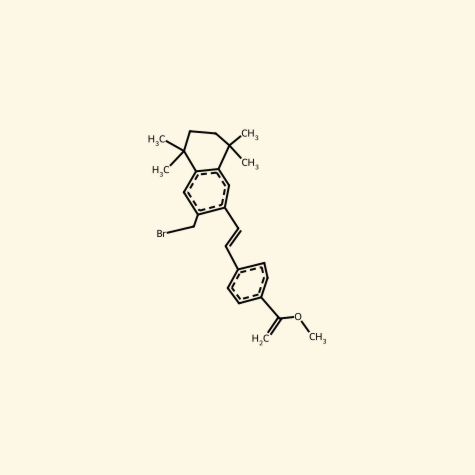 C=C(OC)c1ccc(/C=C/c2cc3c(cc2CBr)C(C)(C)CCC3(C)C)cc1